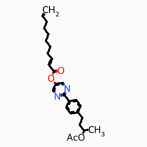 C=CCCCCCCC=CC(=O)Oc1cnc(-c2ccc(CCC(C)OC(C)=O)cc2)nc1